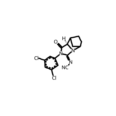 N#C/N=C1\N(c2cc(Cl)cc(Cl)c2)C(=O)[C@H]2C3CCC(C3)N12